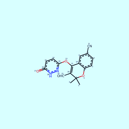 CC1(C)Oc2ccc(C#N)cc2C(Oc2ccc(=O)[nH]n2)=C1C=O